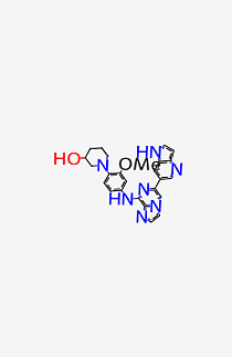 COc1cc(Nc2nc(-c3cnc4cc[nH]c4c3)cn3ccnc23)ccc1N1CCC[C@H](O)C1